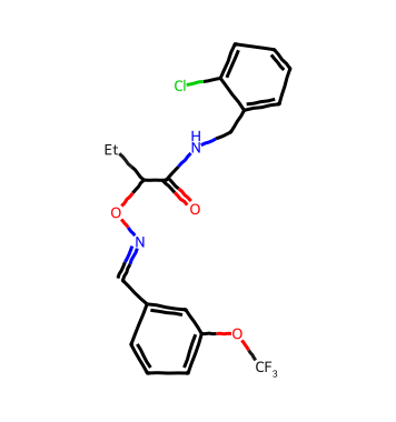 CCC(ON=Cc1cccc(OC(F)(F)F)c1)C(=O)NCc1ccccc1Cl